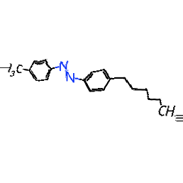 CCCCCCc1ccc(N=Nc2ccc(C)cc2)cc1